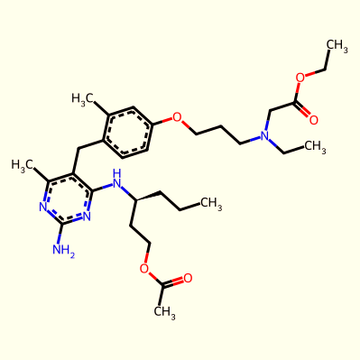 CCC[C@@H](CCOC(C)=O)Nc1nc(N)nc(C)c1Cc1ccc(OCCCN(CC)CC(=O)OCC)cc1C